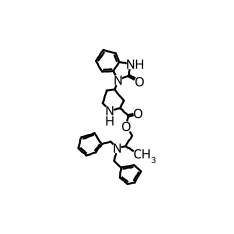 CC(COC(=O)C1CC(n2c(=O)[nH]c3ccccc32)CCN1)N(Cc1ccccc1)Cc1ccccc1